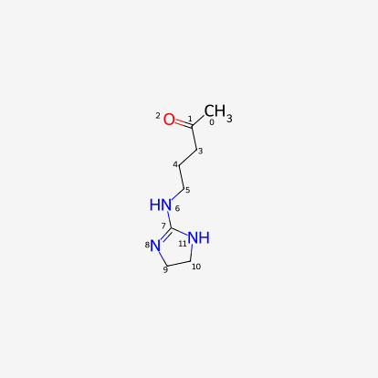 CC(=O)CCCNC1=NCCN1